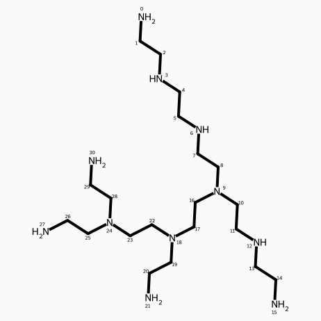 NCCNCCNCCN(CCNCCN)CCN(CCN)CCN(CCN)CCN